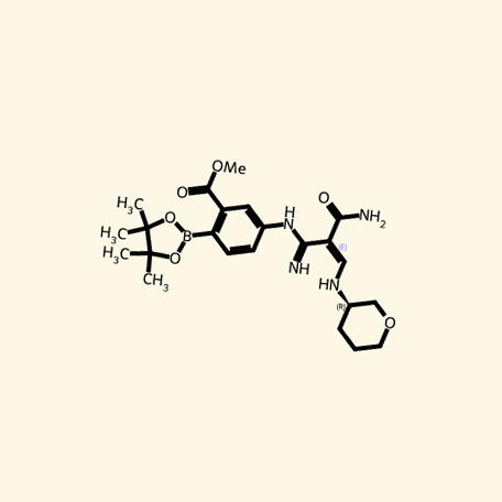 COC(=O)c1cc(NC(=N)/C(=C\N[C@@H]2CCCOC2)C(N)=O)ccc1B1OC(C)(C)C(C)(C)O1